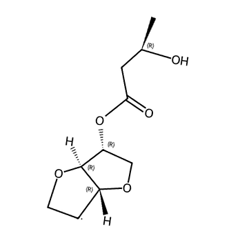 C[C@@H](O)CC(=O)O[C@@H]1CO[C@@H]2[CH]CO[C@H]21